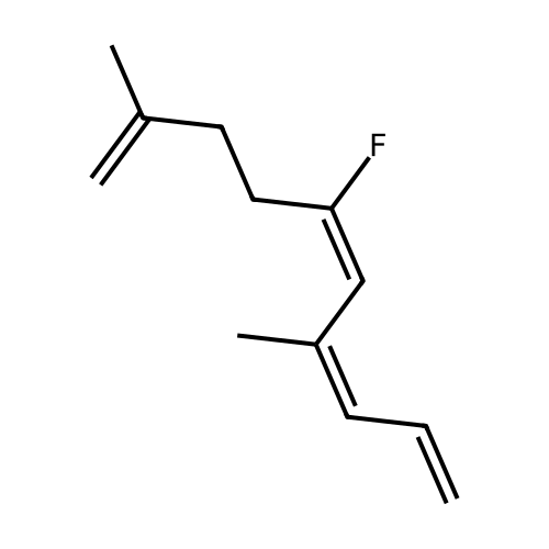 C=C/C=C(C)\C=C(\F)CCC(=C)C